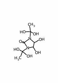 CC(O)(O)N1C(=O)N(C(C)(O)O)C(O)C1O